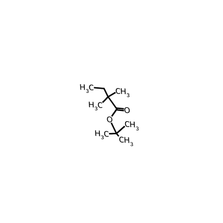 CCC(C)(C)C(=O)OC(C)(C)C